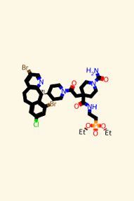 CCOP(=O)(CCNC(=O)C1(CC(=O)N2CCC([C@H]3c4ncc(Br)cc4CCc4cc(Cl)cc(Br)c43)CC2)CCN(C(N)=O)CC1)OCC